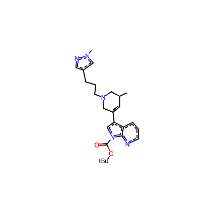 CC1C=C(c2cn(C(=O)OC(C)(C)C)c3ncccc23)CN(CCCc2cnn(C)c2)C1